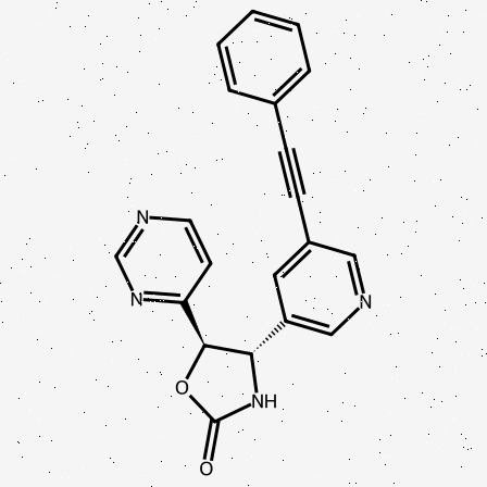 O=C1N[C@@H](c2cncc(C#Cc3ccccc3)c2)[C@H](c2ccncn2)O1